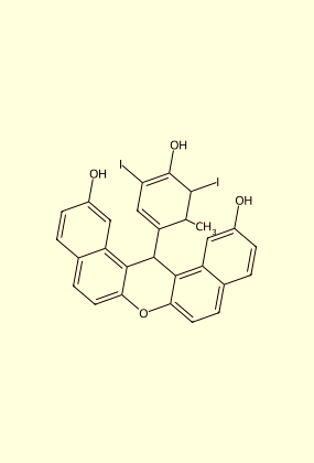 CC1C(C2c3c(ccc4ccc(O)cc34)Oc3ccc4ccc(O)cc4c32)=CC(I)=C(O)C1I